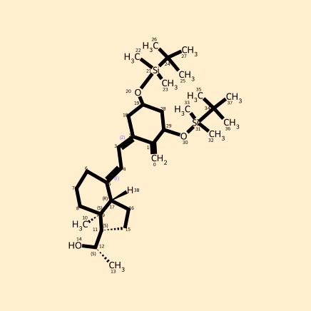 C=C1/C(=C\C=C2/CCC[C@]3(C)[C@@H]([C@H](C)O)CC[C@@H]23)CC(O[Si](C)(C)C(C)(C)C)CC1O[Si](C)(C)C(C)(C)C